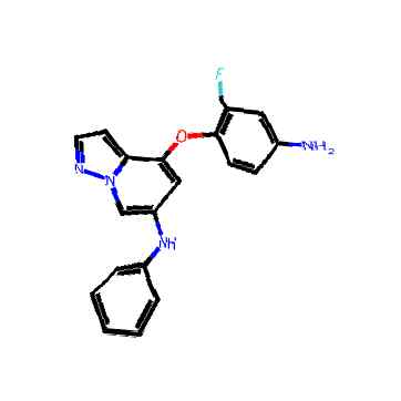 Nc1ccc(Oc2cc(Nc3ccccc3)cn3nccc23)c(F)c1